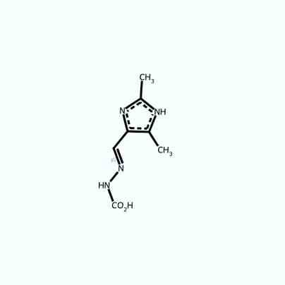 Cc1nc(/C=N/NC(=O)O)c(C)[nH]1